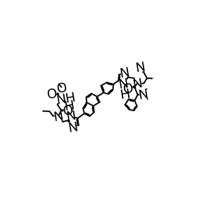 CCCN(Cc1ncc(-c2ccc3cc(-c4ccc(-c5cnc(CN(CC(C)C#N)C(=O)C(c6ccccc6)N(C)C)[nH]5)cc4)ccc3c2)[nH]1)C(=O)CNC(=O)OC